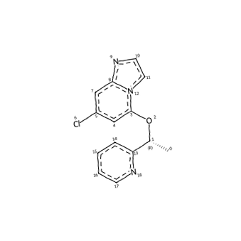 C[C@@H](Oc1cc(Cl)cc2nccn12)c1ccccn1